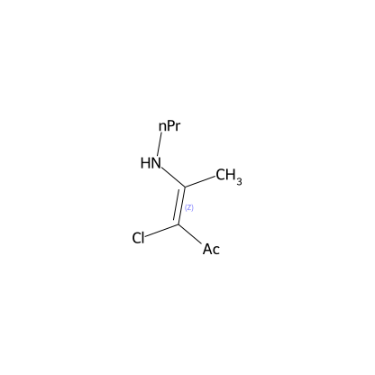 CCCN/C(C)=C(\Cl)C(C)=O